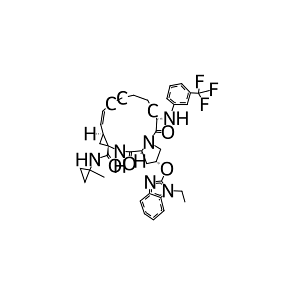 CCn1c(O[C@@H]2C[C@H]3C(=O)N[C@]4(C(=O)NC5(C)CC5)C[C@H]4/C=C\CCCCC[C@H](Nc4cccc(C(F)(F)F)c4)C(=O)N3C2)nc2ccccc21